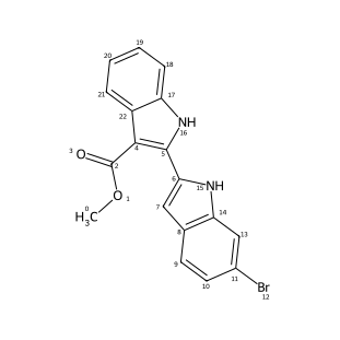 COC(=O)c1c(-c2cc3ccc(Br)cc3[nH]2)[nH]c2ccccc12